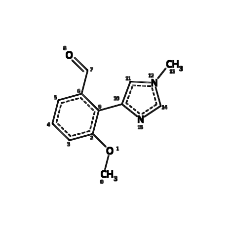 COc1cccc(C=O)c1-c1cn(C)cn1